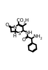 CC1=C(C(=O)O)N2C(=O)C[C@H]2SC1NC(=O)C(N)C1=CCC=CC1